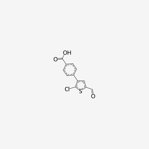 O=Cc1cc(-c2ccc(C(=O)O)cc2)c(Cl)s1